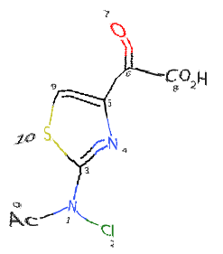 CC(=O)N(Cl)c1nc(C(=O)C(=O)O)cs1